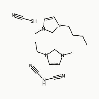 CCCCN1C=CN(C)C1.CCN1C=CN(C)C1.N#CNC#N.N#CS